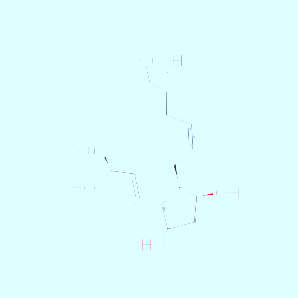 CCCCC[C@H](O)/C=C/[C@H]1C(O)C[C@H](O)[C@@H]1C/C=C\CCCC(=O)O